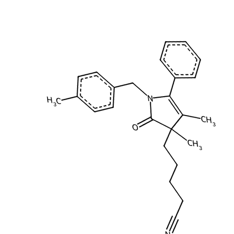 CC1=C(c2ccccc2)N(Cc2ccc(C)cc2)C(=O)C1(C)CCCCC#N